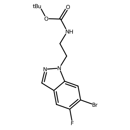 CC(C)(C)OC(=O)NCCn1ncc2cc(F)c(Br)cc21